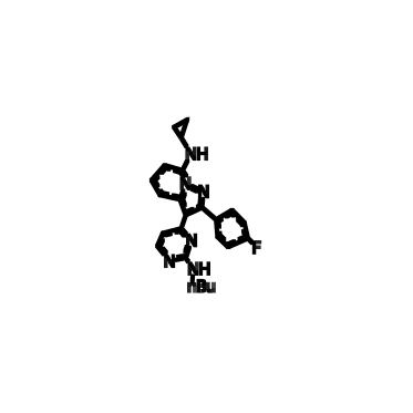 CCCCNc1nccc(-c2c(-c3ccc(F)cc3)nn3c(NC4CC4)cccc23)n1